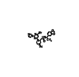 CC(=O)N1CCN(c2cc(C(C)C)nc(-n3ccnc3)n2)C(CC(=O)NC(C)c2ccc3c(c2)OCO3)C1